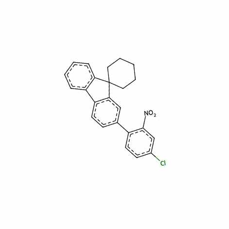 O=[N+]([O-])c1cc(Cl)ccc1-c1ccc2c(c1)C1(CCCCC1)c1ccccc1-2